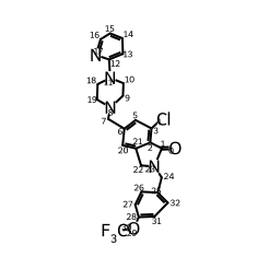 O=C1c2c(Cl)cc(CN3CCN(c4ccccn4)CC3)cc2CN1Cc1ccc(OC(F)(F)F)cc1